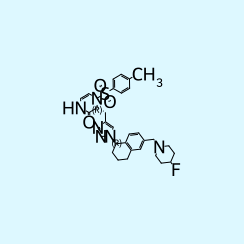 Cc1ccc(S(=O)(=O)N2C=CNC(=O)[C@H]2Cc2cn([C@@H]3CCCc4cc(CN5CCC(F)CC5)ccc43)nn2)cc1